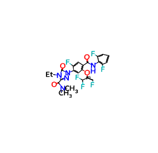 CCn1c(C(=O)N(C)C)nn(-c2cc(O[C@@H](CF)C(F)F)c(C(=O)Nc3c(F)cccc3F)cc2F)c1=O